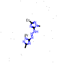 CCc1nc(NN=Nc2nc(C)nn2C(C)C)n(C)n1